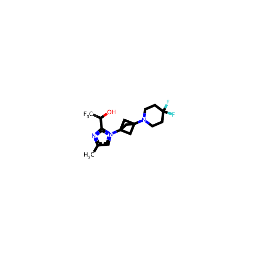 Cc1cn(C23CC(N4CCC(F)(F)CC4)(C2)C3)c(C(O)C(F)(F)F)n1